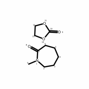 CN1CCCCCC1=O.O=C1OCCO1